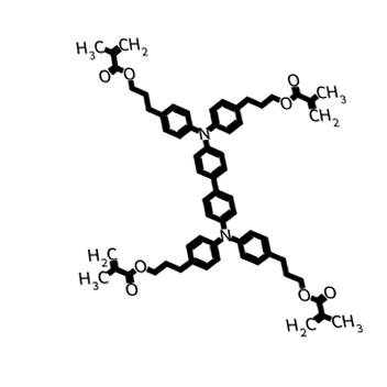 C=C(C)C(=O)OCCCc1ccc(N(c2ccc(CCCOC(=O)C(=C)C)cc2)c2ccc(-c3ccc(N(c4ccc(CCCOC(=O)C(=C)C)cc4)c4ccc(CCCOC(=O)C(=C)C)cc4)cc3)cc2)cc1